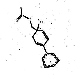 CC(=O)OCC1(O)C=CC(c2ccccc2)=CC1